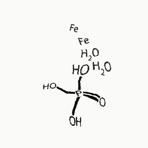 O.O.O=P(O)(O)O.[Fe].[Fe]